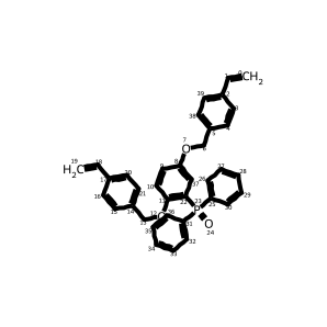 C=Cc1ccc(COc2ccc(OCc3ccc(C=C)cc3)c(P(=O)(c3ccccc3)c3ccccc3)c2)cc1